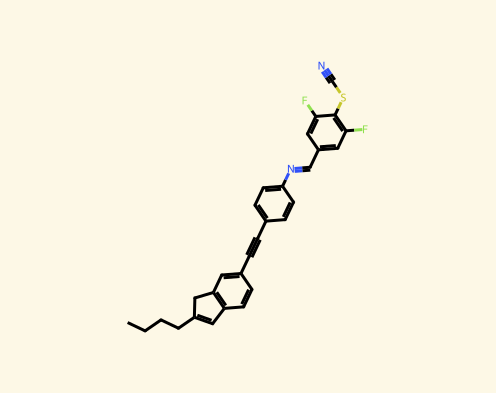 CCCCC1=Cc2ccc(C#Cc3ccc(N=Cc4cc(F)c(SC#N)c(F)c4)cc3)cc2C1